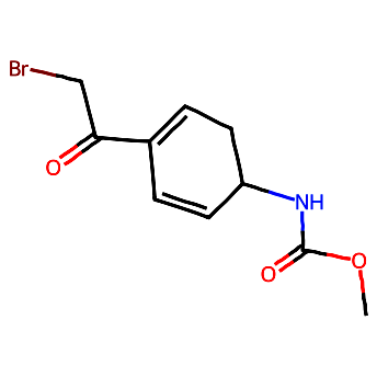 COC(=O)NC1C=CC(C(=O)CBr)=CC1